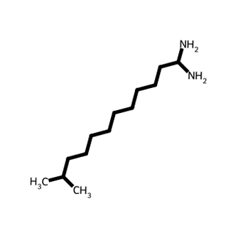 CC(C)CCCCCCCCCC(N)N